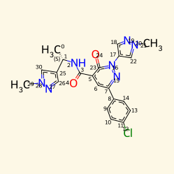 C[C@H](NC(=O)c1cc(-c2ccc(Cl)cc2)nn(-c2cnn(C)c2)c1=O)c1cnn(C)c1